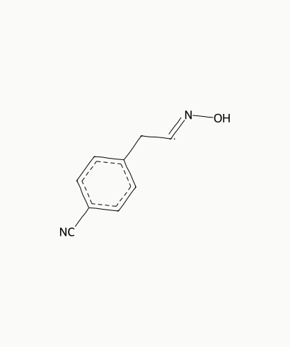 N#Cc1ccc(C[C]=NO)cc1